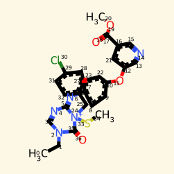 CCN1C=NC(=Nc2ccc(Oc3cncc(C(=O)OC)c3)cc2)[N+](Cc2ccc(Cl)cc2)(SC)C1=O